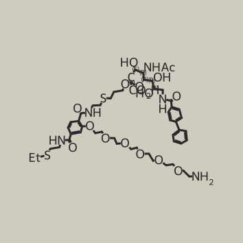 CCSCCNC(=O)c1ccc(C(=O)NCCSCCCO[C@]2(C(=O)O)C[C@H](O)[C@@H](NC(C)=O)[C@H]([C@H](O)[C@H](O)CNC(=O)c3ccc(-c4ccccc4)cc3)O2)c(OCCOCCOCCOCCOCCOCCN)c1